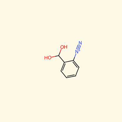 N#[N+]c1ccccc1C(O)O